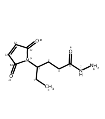 CCC(CCC(=O)NN)N1C(=O)C=CC1=O